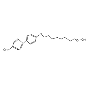 O=Cc1ccc(-c2ccc(OCCCCCCCCOO)cc2)cc1